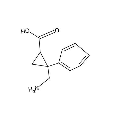 NCC1(c2ccccc2)CC1C(=O)O